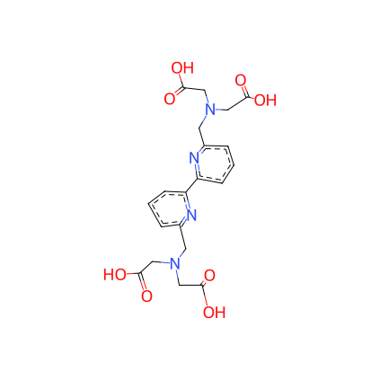 O=C(O)CN(CC(=O)O)Cc1cccc(-c2cccc(CN(CC(=O)O)CC(=O)O)n2)n1